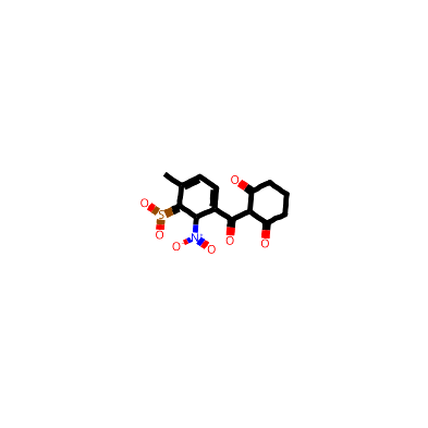 CC1=CC=C(C(=O)C2C(=O)CCCC2=O)C([N+](=O)[O-])C1=S(=O)=O